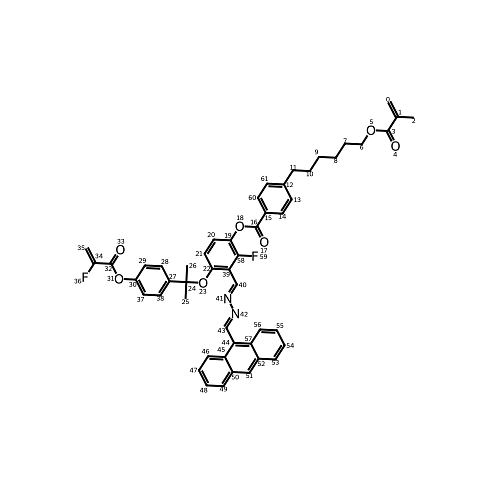 C=C(C)C(=O)OCCCCCCc1ccc(C(=O)Oc2ccc(OC(C)(C)c3ccc(OC(=O)C(=C)F)cc3)c(/C=N/N=C/c3c4ccccc4cc4ccccc34)c2F)cc1